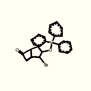 O=C1CC2C1CC(O[Si](c1ccccc1)(c1ccccc1)c1ccccc1)C2Br